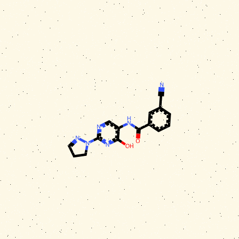 N#Cc1cccc(C(=O)Nc2cnc(N3CCC=N3)nc2O)c1